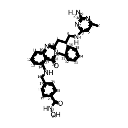 Cc1cc(NCCCc2nc3cccc(NCc4ccc(C(=O)NO)cc4)c3c(=O)n2-c2ccccc2)nc(N)n1